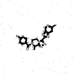 Cc1cc2nc(-c3nnc4n3CCN(C(=O)c3ccc(F)cc3)C4C)sc2cn1